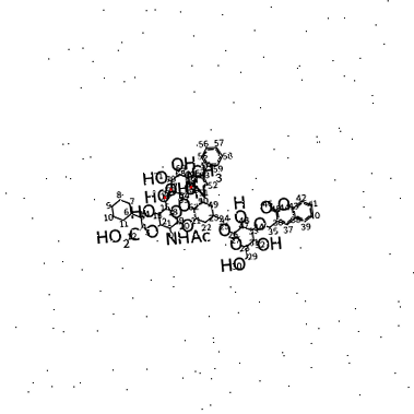 CC(=O)NC1C(O[C@@H](CC2CCCCC2)C(=O)O)[C@@H](O)C(CO)O[C@H]1O[C@@H]1CC(CO[C@H]2OC(CO)[C@@H](O)[C@H](OCc3cc4ccccc4oc3=O)C2O)CC(n2cc(-c3ccccc3)nn2)C1O[C@@H]1OC(C)[C@@H](O)C(O)C1O